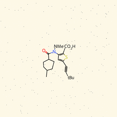 CNN(C(=O)C1CCC(C)CC1)c1cc(C#CC(C)(C)C)sc1C(=O)O